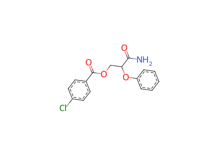 NC(=O)C(COC(=O)c1ccc(Cl)cc1)Oc1ccccc1